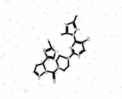 Cc1nc(C)n(-c2nc(N3CCN(C(=O)N4N=CCC4c4csc(C)n4)CC3)ncc2Cl)n1